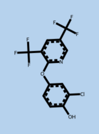 Oc1ccc(Oc2ncc(C(F)(F)F)cc2C(F)(F)F)cc1Cl